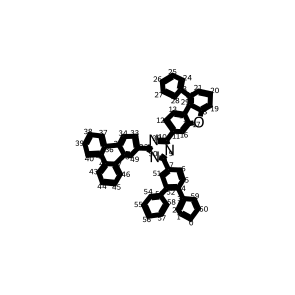 c1ccc(-c2ccc(-c3nc(-c4ccc5c(c4)oc4cccc(-c6ccccc6)c45)nc(-c4ccc5c6ccccc6c6ccccc6c5c4)n3)cc2-c2ccccc2)cc1